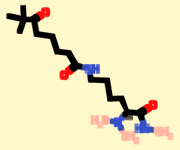 BNC(=O)[C@H](CCCCNC(=O)CCCCC(=O)C(C)(C)C)N(B)B